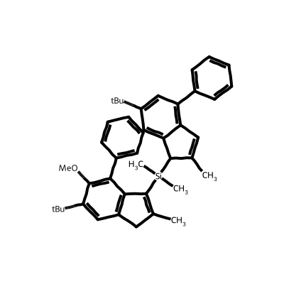 COc1c(C(C)(C)C)cc2c(c1-c1ccccc1)C([Si](C)(C)C1C(C)=Cc3c(-c4ccccc4)cc(C(C)(C)C)cc31)=C(C)C2